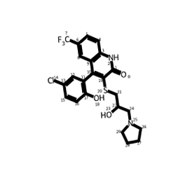 O=c1[nH]c2ccc(C(F)(F)F)cc2c(-c2cc(Cl)ccc2O)c1SCC(O)CN1CCCC1